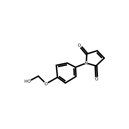 O=C1C=CC(=O)N1c1ccc(OCO)cc1